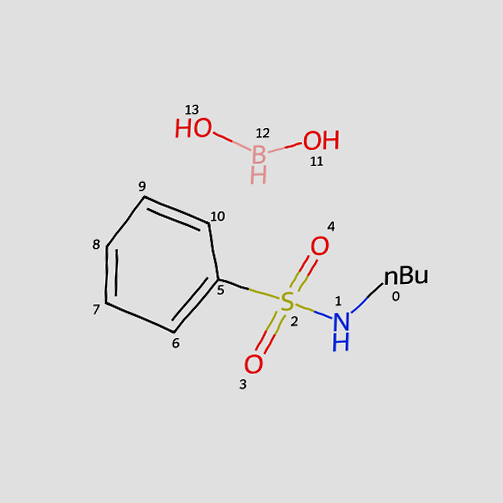 CCCCNS(=O)(=O)c1ccccc1.OBO